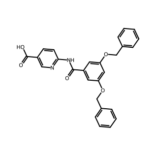 O=C(O)c1ccc(NC(=O)c2cc(OCc3ccccc3)cc(OCc3ccccc3)c2)nc1